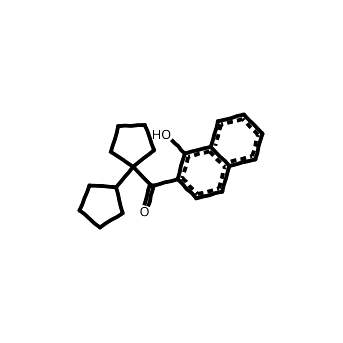 O=C(c1ccc2ccccc2c1O)C1(C2CCCC2)CCCC1